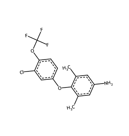 Cc1cc(N)cc(C)c1Oc1ccc(OC(F)(F)F)c(Cl)c1